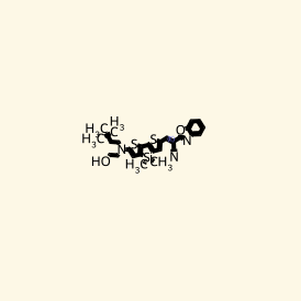 CC(C)(C)CCN(CCO)c1cc2c(s1)-c1sc(/C=C(\C#N)c3nc4ccccc4o3)cc1[Si]2(C)C